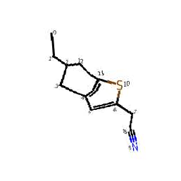 CCC1Cc2cc(CC#N)sc2C1